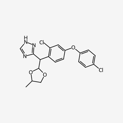 CC1COC(C(c2nc[nH]n2)c2ccc(Oc3ccc(Cl)cc3)cc2Cl)O1